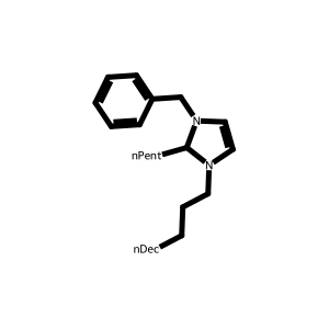 CCCCCCCCCCCCCN1C=CN(Cc2ccccc2)C1CCCCC